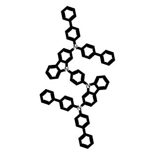 c1ccc(-c2ccc(N(c3ccc(-c4ccccc4)cc3)c3ccc4c5ccccc5n(-c5ccc(-n6c7ccccc7c7ccc(N(c8ccc(-c9ccccc9)cc8)c8ccc(-c9ccccc9)cc8)cc76)cc5)c4c3)cc2)cc1